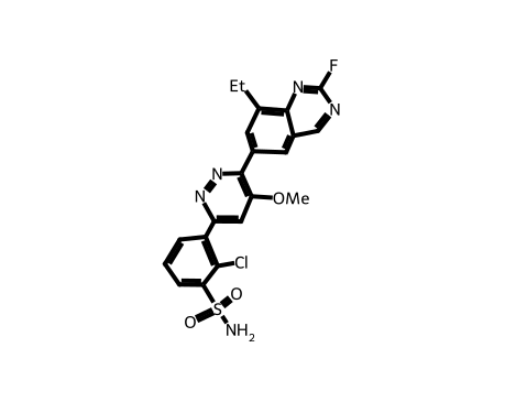 CCc1cc(-c2nnc(-c3cccc(S(N)(=O)=O)c3Cl)cc2OC)cc2cnc(F)nc12